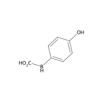 O=C(O)Bc1ccc(O)cc1